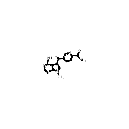 Cn1cc(C(=O)c2c[c]c(C(N)=O)nc2)c2c(N)ncnc21